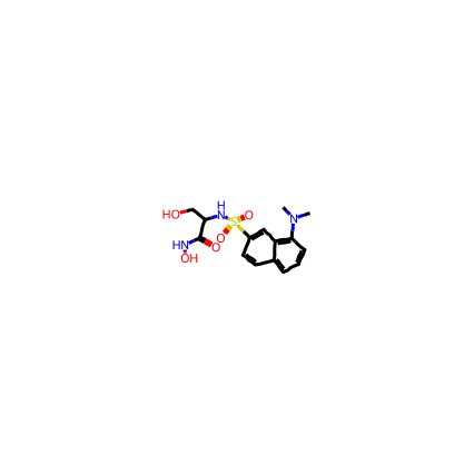 CN(C)c1cccc2ccc(S(=O)(=O)NC(CO)C(=O)NO)cc12